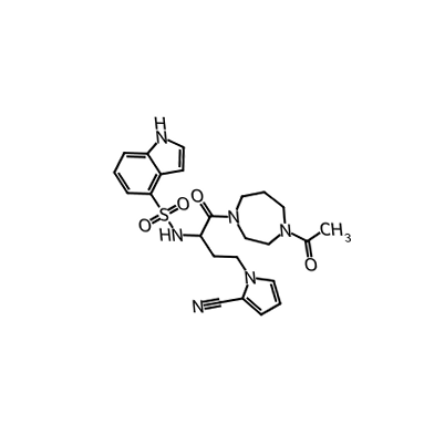 CC(=O)N1CCCN(C(=O)C(CCn2cccc2C#N)NS(=O)(=O)c2cccc3[nH]ccc23)CC1